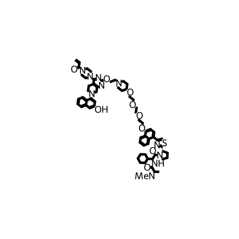 C=CC(=O)N1CCN(c2nc(OCCN3CCC(OCCOCCOCCOc4ccc(-c5csc([C@@H]6CCCN6C(=O)[C@@H](NC(=O)[C@H](C)NC)C6CCCCC6)n5)c5ccccc45)CC3)nc3c2CCN(c2cc(O)cc4ccccc24)C3)CC1